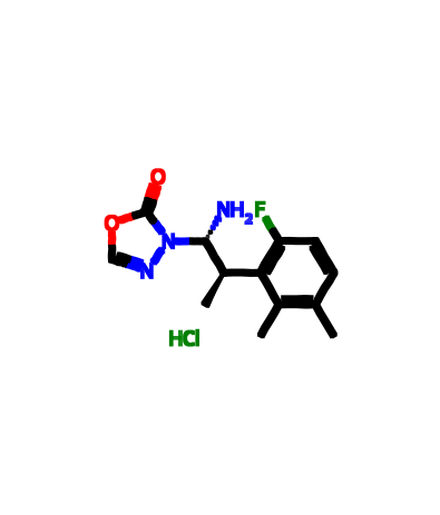 Cc1ccc(F)c([C@@H](C)[C@@H](N)n2ncoc2=O)c1C.Cl